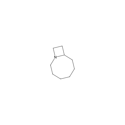 C1CCCN2CCC2CC1